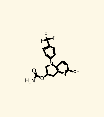 NC(=O)OC1Cc2nc(Br)ccc2N(c2ccc(C(F)(F)F)cc2)C1